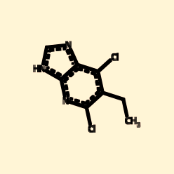 CCc1c(Cl)nc2[nH]cnc2c1Cl